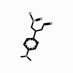 CN(C)c1ccc(C(CC=O)C[N+](=O)[O-])cc1